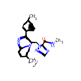 CNC(=O)c1ncnn1Cc1c(-c2ccc(C)cc2)nc2ccc(C)cn12